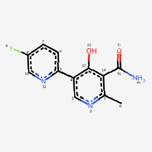 Cc1ncc(-c2ccc(F)cn2)c(O)c1C(N)=O